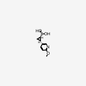 COc1ccc([C@@H]2C[C@H]2B(O)O)cn1